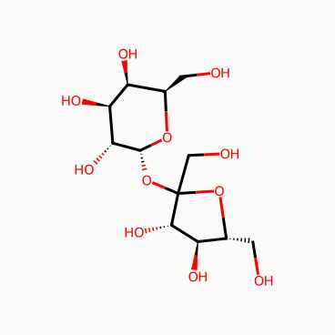 OC[C@H]1O[C@H](OC2(CO)O[C@H](CO)[C@@H](O)[C@@H]2O)[C@H](O)[C@@H](O)[C@H]1O